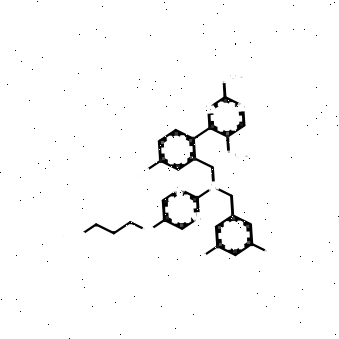 COc1ncc(OC)c(-c2ccc(C(F)(F)F)cc2CN(Cc2cc(C(F)(F)F)cc(C(F)(F)F)c2)c2ncc(OCCCC(=O)O)cn2)n1